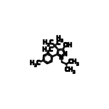 Cc1ccc(-c2c(C(C)(C)C)c(O)nn2CC(C)C)cc1